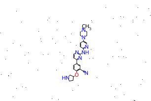 CN1CCN(c2ccc(Nc3nccc(-c4ccc(OC5CCNC5)c(C#N)c4)n3)nc2)CC1